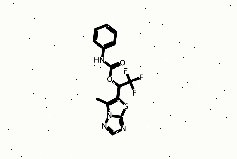 Cc1c(C(OC(=O)Nc2ccccc2)C(F)(F)F)sc2ncnn12